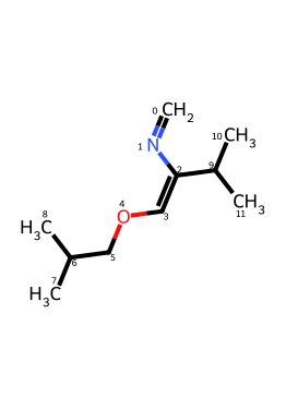 C=N/C(=C\OCC(C)C)C(C)C